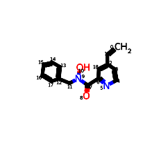 C=Cc1ccnc(C(=O)N(O)Cc2ccccc2)c1